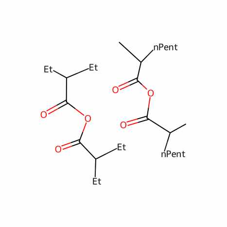 CCC(CC)C(=O)OC(=O)C(CC)CC.CCCCCC(C)C(=O)OC(=O)C(C)CCCCC